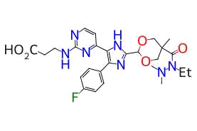 CCN(C(=O)C1(C)COC(c2nc(-c3ccc(F)cc3)c(-c3ccnc(NCCC(=O)O)n3)[nH]2)OC1)N(C)C